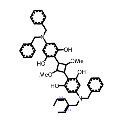 C/C=C\C(=C/C)CN(Cc1ccccc1)c1cc(O)c(C2C(OC)C(c3c(O)cc(N(Cc4ccccc4)Cc4ccccc4)cc3O)C2OC)c(O)c1